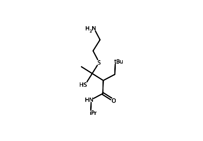 CC(C)NC(=O)C(CC(C)(C)C)C(C)(S)SCCN